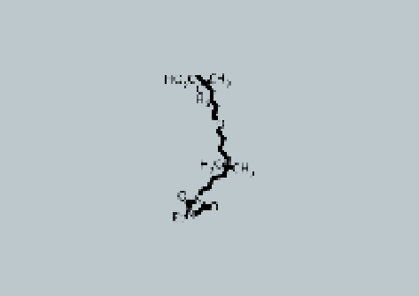 CCN1CC(=O)N(CCCCC(C)(C)CCCCOCCCCC(C)(C)CC(=O)O)C1=O